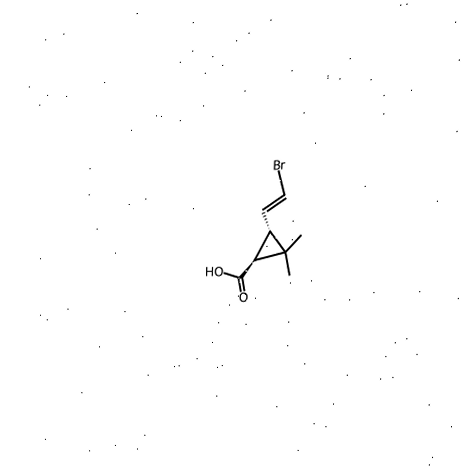 CC1(C)[C@@H](C=CBr)[C@@H]1C(=O)O